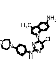 Cc1cn(-c2nc(Nc3ccc(N4CCOCC4)cc3)ncc2Cl)c2ccc(N)cc12